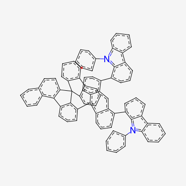 c1ccc(-n2c3ccccc3c3cccc(-c4cccc5c(-c6cccc7c6C6(c8ccccc8-c8ccccc86)c6ccc8ccccc8c6-7)c6cccc(-c7cccc8c9ccccc9n(-c9ccccc9)c78)c6cc45)c32)cc1